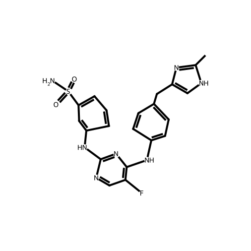 Cc1nc(Cc2ccc(Nc3nc(Nc4cccc(S(N)(=O)=O)c4)ncc3F)cc2)c[nH]1